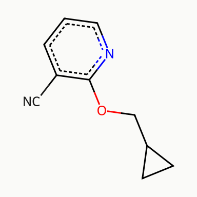 N#Cc1cccnc1OCC1CC1